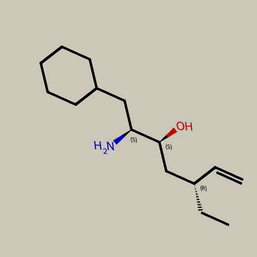 C=C[C@H](CC)C[C@H](O)[C@@H](N)CC1CCCCC1